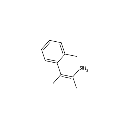 CC([SiH3])=C(C)c1ccccc1C